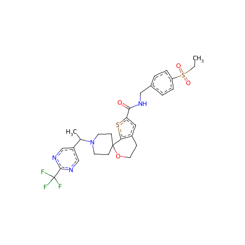 CCS(=O)(=O)c1ccc(CNC(=O)c2cc3c(s2)C2(CCN(C(C)c4cnc(C(F)(F)F)nc4)CC2)OCC3)cc1